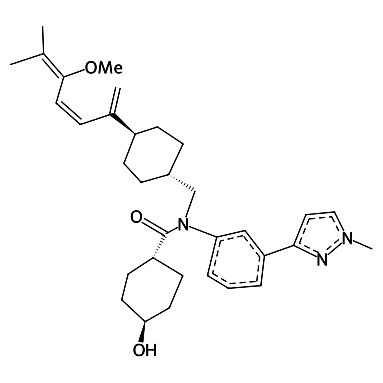 C=C(/C=C\C(OC)=C(C)C)[C@H]1CC[C@H](CN(c2cccc(-c3ccn(C)n3)c2)C(=O)[C@H]2CC[C@H](O)CC2)CC1